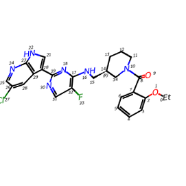 CCOc1ccccc1C(=O)N1CCC[C@H](CNc2nc(-c3c[nH]c4ncc(Cl)cc34)ncc2F)C1